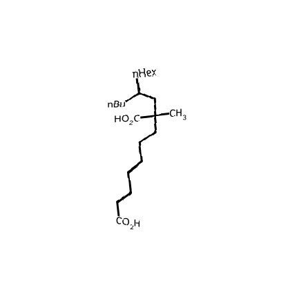 CCCCCCC(CCCC)CC(C)(CCCCCCC(=O)O)C(=O)O